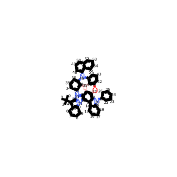 CC(C)(C)c1c2ccccc2n2c3c4c5ccccc5n(-c5ccccc5)c4c4c5c3n(c12)-c1cccc2c1B5c1c(cccc1N2c1cccc2ccccc12)O4